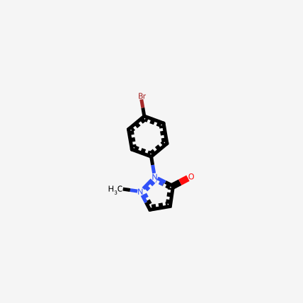 Cn1ccc(=O)n1-c1ccc(Br)cc1